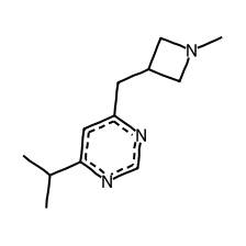 CC(C)c1cc(CC2CN(C)C2)ncn1